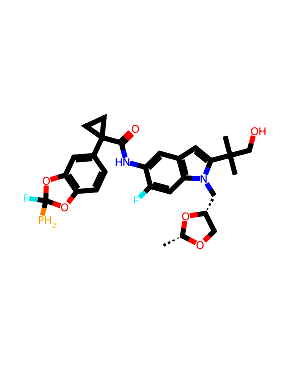 C[C@H]1OC[C@@H](Cn2c(C(C)(C)CO)cc3cc(NC(=O)C4(c5ccc6c(c5)OC(F)(P)O6)CC4)c(F)cc32)O1